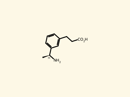 C[C@H](N)c1cccc(CCC(=O)O)c1